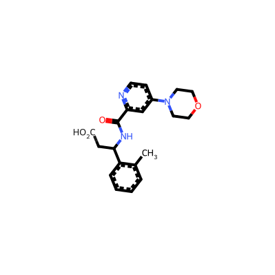 Cc1ccccc1C(CC(=O)O)NC(=O)c1cc(N2CCOCC2)ccn1